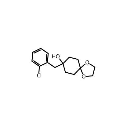 OC1(Cc2ccccc2Cl)CCC2(CC1)OCCO2